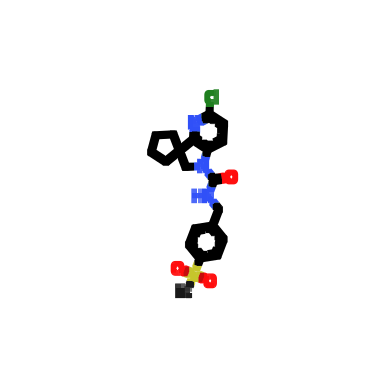 CCS(=O)(=O)c1ccc(CNC(=O)N2CC3(CCCC3)c3nc(Cl)ccc32)cc1